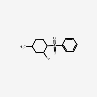 CC1CCC(S(=O)(=O)c2ccccc2)C(Br)C1